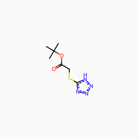 CC(C)(C)OC(=O)CSc1nnn[nH]1